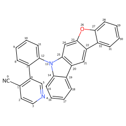 N#Cc1ccncc1-c1ccccc1-n1c2ccccc2c2cc3c(cc21)oc1ccccc13